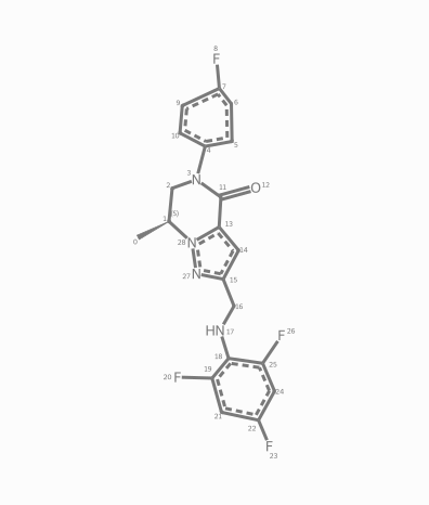 C[C@H]1CN(c2ccc(F)cc2)C(=O)c2cc(CNc3c(F)cc(F)cc3F)nn21